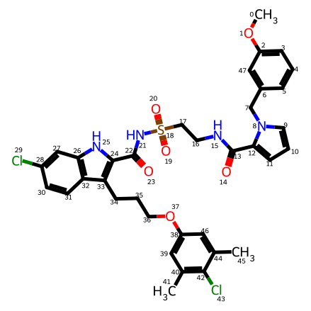 COc1cccc(Cn2cccc2C(=O)NCCS(=O)(=O)NC(=O)c2[nH]c3cc(Cl)ccc3c2CCCOc2cc(C)c(Cl)c(C)c2)c1